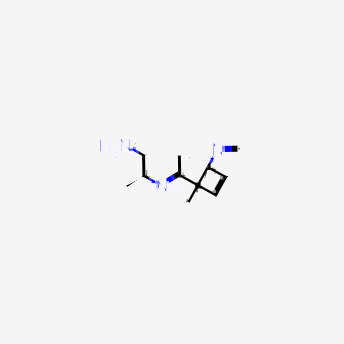 C=N[C@@]1(C)C=CC1(C)/C(C)=N/[C@@H](C)CN